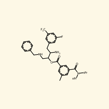 CCCN(CCC)C(=O)c1cc(C)cc(C(=O)OC(CNCc2ccccc2)C(N)Cc2cc(F)cc(C(F)(F)F)c2)c1